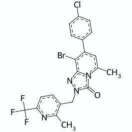 Cc1nc(C(F)(F)F)ccc1Cn1nc2c(Br)c(-c3ccc(Cl)cc3)cc(C)n2c1=O